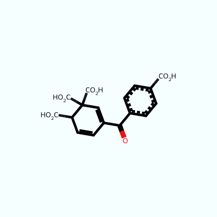 O=C(O)c1ccc(C(=O)C2=CC(C(=O)O)(C(=O)O)C(C(=O)O)C=C2)cc1